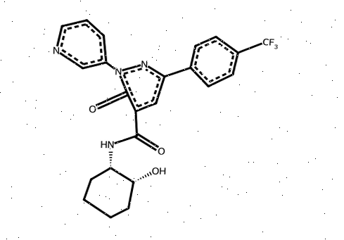 O=C(N[C@H]1CCCC[C@H]1O)c1cc(-c2ccc(C(F)(F)F)cc2)nn(-c2cccnc2)c1=O